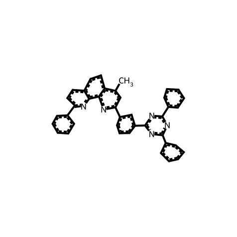 Cc1cc(-c2cccc(-c3nc(-c4ccccc4)nc(-c4ccccc4)n3)c2)nc2c1ccc1ccc(-c3ccccc3)nc12